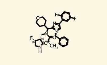 C[C@H](O)C(=O)N(C[C@@H]1CNC[C@@H]1F)C(c1nc(-c2cc(F)ccc2F)cn1Cc1ccccc1)C1CCOCC1